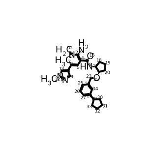 C=N/C(N)=C(\C=C(/C)c1cnn(C)c1)C(=O)N[C@H]1CCC[C@@H]1OCc1cccc(C2CCCC2)c1